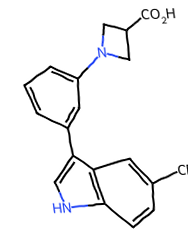 O=C(O)C1CN(c2cccc(-c3c[nH]c4ccc(C(F)(F)F)cc34)c2)C1